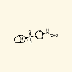 CN1C2CCC1CC(S(=O)(=O)c1ccc(NC=O)cc1)C2